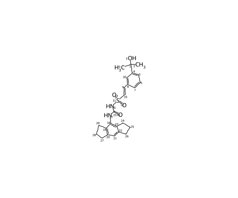 CC(C)(O)c1cccc(/C=C/S(=O)(=O)NC(=O)Nc2c3c(cc4c2CCC4)CCC3)c1